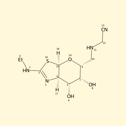 CCNC1=N[C@@H]2[C@@H](O)[C@@H](O)[C@@H](CNCC#N)O[C@@H]2S1